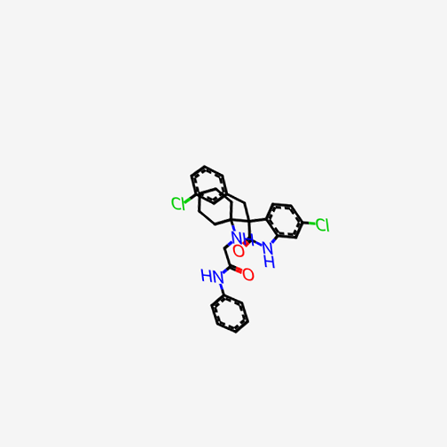 O=C(CNC1(C2(Cc3cccc(Cl)c3)C(=O)Nc3cc(Cl)ccc32)CCCCC1)Nc1ccccc1